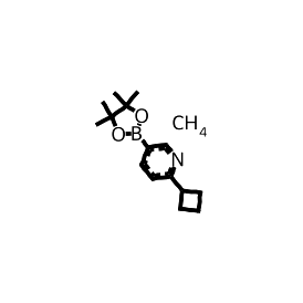 C.CC1(C)OB(c2ccc(C3CCC3)nc2)OC1(C)C